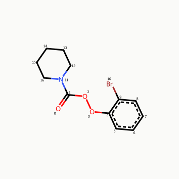 O=C(OOc1ccccc1Br)N1CCCCC1